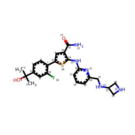 CC(C)(O)c1ccc(-c2cc(C(N)=O)c(Nc3cccc(CNC4CNC4)n3)s2)c(F)c1